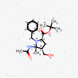 CC(=O)N[C@@]1(C)[C@H](CO)C[C@H](C(=O)OC(C)(C)C)N1Cc1ccccc1